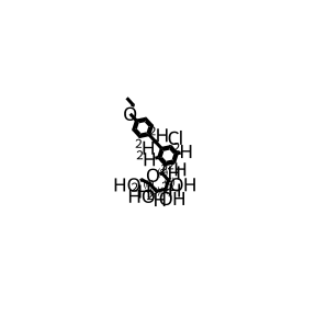 [2H]c1c([2H])c([C@@H]2O[C@]([2H])(CO)[C@@]([2H])(O)[C@]([2H])(O)[C@@]2([2H])O)c([2H])c(C([2H])([2H])c2ccc(OCC)cc2)c1Cl